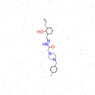 C=CCc1cccc(/C=N/NC(=O)CN2CCN(Cc3ccc(C)cc3)CC2)c1O